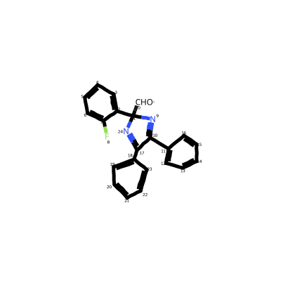 O=[C]C1(c2ccccc2F)N=C(c2ccccc2)C(c2ccccc2)=N1